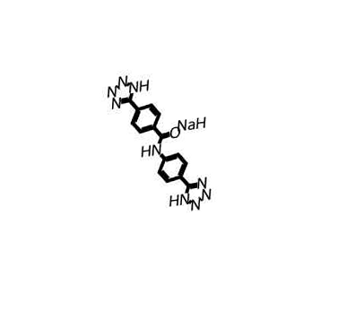 O=C(Nc1ccc(-c2nnn[nH]2)cc1)c1ccc(-c2nnn[nH]2)cc1.[NaH]